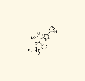 CNC(=O)[C@@H]1CCCN1C(=O)[C@H](C(C)C)n1cc(-c2ccc[nH]2)nn1